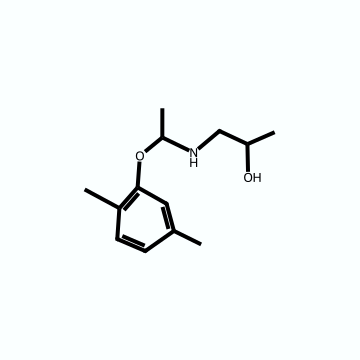 Cc1ccc(C)c(OC(C)NCC(C)O)c1